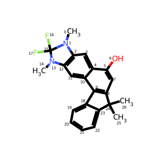 CN1c2cc3c(O)cc4c(c3cc2N(C)C1(F)F)-c1ccccc1C4(C)C